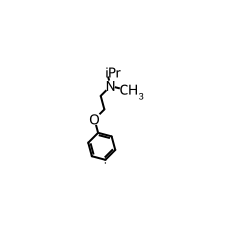 CC(C)N(C)CCOc1cc[c]cc1